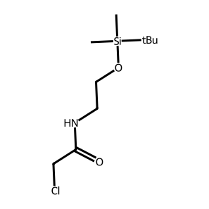 CC(C)(C)[Si](C)(C)OCCNC(=O)CCl